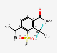 CCCC(CC)c1ccc(C(=O)OC)c(C(F)(F)C(F)(F)F)c1S(C)(=O)=O